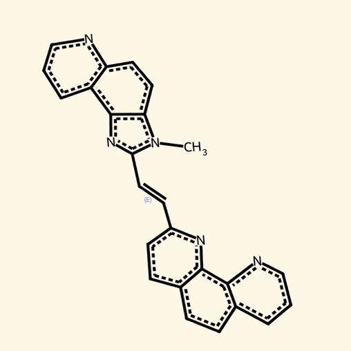 Cn1c(/C=C/c2ccc3ccc4cccnc4c3n2)nc2c3cccnc3ccc21